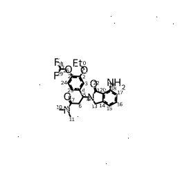 CCOc1cc(C(CC(=O)N(C)C)N2Cc3cccc(N)c3C2=O)ccc1OC(F)F